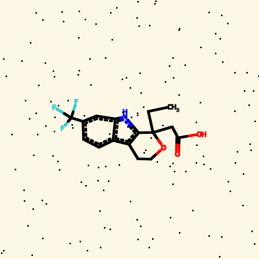 CCC1(CC(=O)O)OCCc2c1[nH]c1cc(C(F)(F)F)ccc21